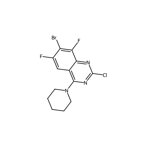 Fc1cc2c(N3CCCCC3)nc(Cl)nc2c(F)c1Br